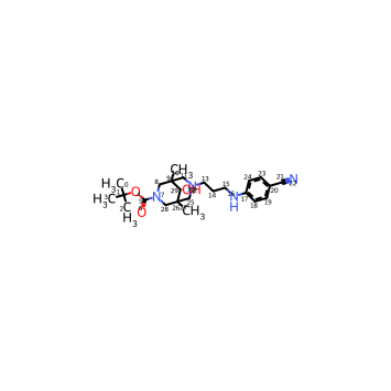 CC(C)(C)OC(=O)N1CC2(C)CN(CCCNc3ccc(C#N)cc3)CC(C)(C1)C2O